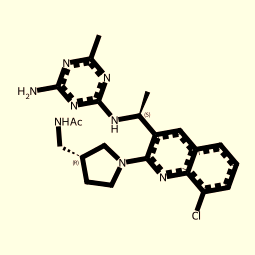 CC(=O)NC[C@H]1CCN(c2nc3c(Cl)cccc3cc2[C@H](C)Nc2nc(C)nc(N)n2)C1